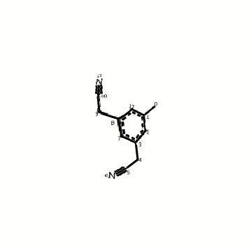 Cc1cc(CC#N)cc(CC#N)c1